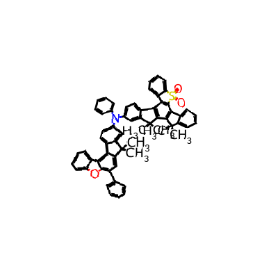 CC1(C)c2cc(N(c3ccccc3)c3ccc4c(c3)C(C)(C)c3c-4c4c(c5c3C(C)(C)c3ccccc3-5)S(=O)(=O)c3ccccc3-4)ccc2-c2c1cc(-c1ccccc1)c1oc3ccccc3c21